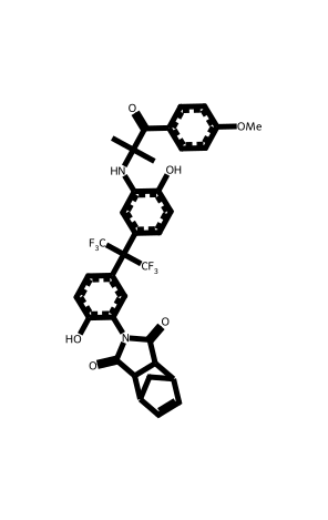 COc1ccc(C(=O)C(C)(C)Nc2cc(C(c3ccc(O)c(N4C(=O)C5C6C=CC(C6)C5C4=O)c3)(C(F)(F)F)C(F)(F)F)ccc2O)cc1